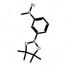 CC(=O)N(C)c1cccc(B2OC(C)(C)C(C)(C)O2)c1